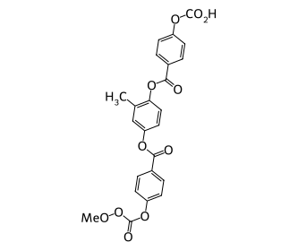 COOC(=O)Oc1ccc(C(=O)Oc2ccc(OC(=O)c3ccc(OC(=O)O)cc3)c(C)c2)cc1